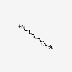 CCCCNCCCCCCCC[NH]